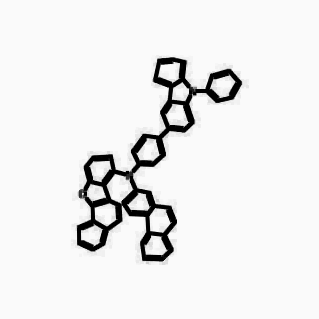 c1ccc(-n2c3ccccc3c3cc(-c4ccc(N(c5ccc6c(ccc7ccccc76)c5)c5cccc6oc7c8ccccc8ccc7c56)cc4)ccc32)cc1